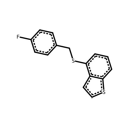 Fc1ccc(CSc2cccc3s[c]cc23)cc1